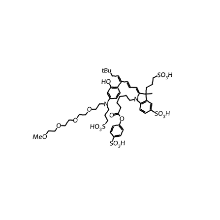 COCCOCCOCCOCCN(CCCS(=O)(=O)O)c1ccc(C(=C\CC(C)(C)C)/C=C/C=C2\N(CCCCCC(=O)Oc3ccc(S(=O)(=O)O)cc3)c3ccc(S(=O)(=O)O)cc3C2(C)CCCS(=O)(=O)O)c(O)c1